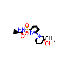 CC1(O)CCCN(c2cccc(S(=O)(=O)NC(=O)C3CC3)n2)C1